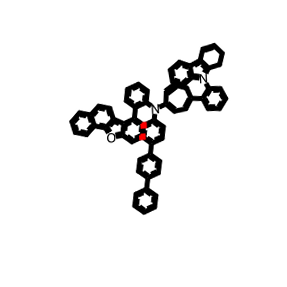 C1#CC(N(c2ccc(-c3ccc(-c4ccccc4)cc3)cc2)c2ccccc2-c2cccc3oc4c5ccccc5ccc4c23)=CC=C(c2ccccc2-n2c3c(c4ccccc42)C=CCC3)C1